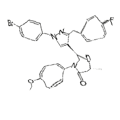 COc1ccc(N2C(=O)[C@@H](C)O[C@@H]2c2cn(-c3ccc(Br)cc3)nc2-c2ccc(F)cc2)cc1